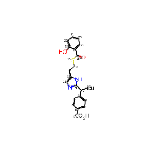 CCC(C)C(c1ccc(C(=O)O)cc1)c1ncc(CCSC(=O)c2ccccc2O)[nH]1